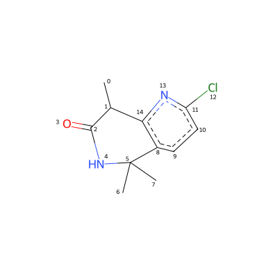 CC1C(=O)NC(C)(C)c2ccc(Cl)nc21